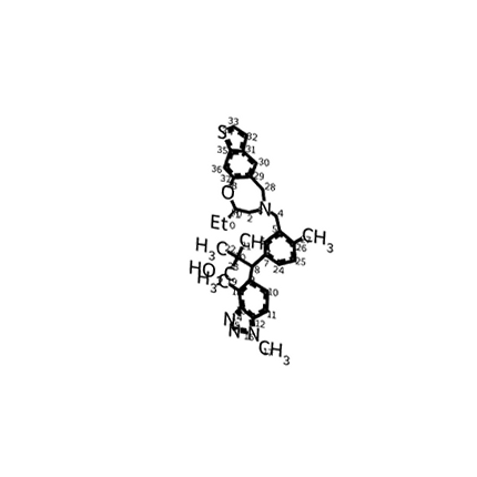 CC[C@@H]1CN(Cc2cc(C(c3ccc4c(nnn4C)c3C)C(C)(C)C(=O)O)ccc2C)Cc2cc3ccsc3cc2O1